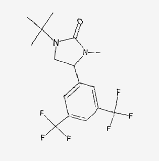 CN1C(=O)N(C(C)(C)C)CC1c1cc(C(F)(F)F)cc(C(F)(F)F)c1